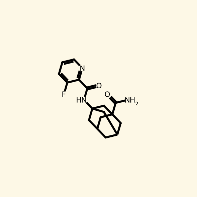 NC(=O)C12CC3CC(CC(NC(=O)c4ncccc4F)(C3)C1)C2